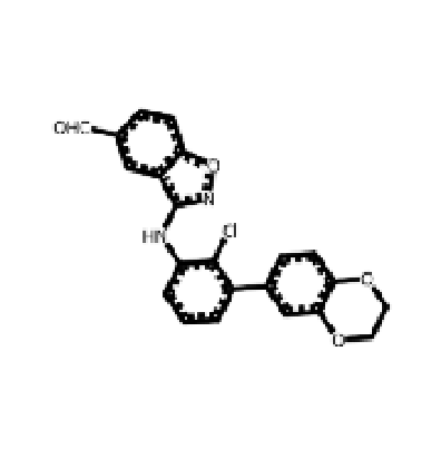 O=Cc1ccc2onc(Nc3cccc(-c4ccc5c(c4)OCCO5)c3Cl)c2c1